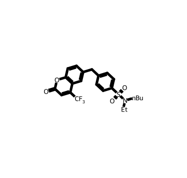 CCCCN(CC)S(=O)(=O)c1ccc(Cc2ccc3oc(=O)cc(C(F)(F)F)c3c2)cc1